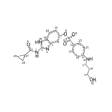 O=C(Nc1nc2cc(OS(=O)(=O)c3ccc(NCCCO)cc3)ccc2[nH]1)C1CC1